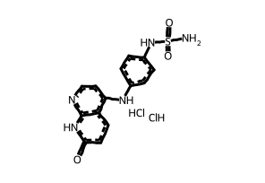 Cl.Cl.NS(=O)(=O)Nc1ccc(Nc2ccnc3[nH]c(=O)ccc23)cc1